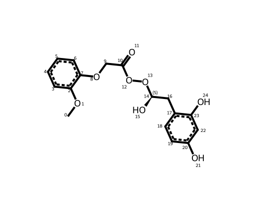 COc1ccccc1OCC(=O)OO[C@H](O)Cc1ccc(O)cc1O